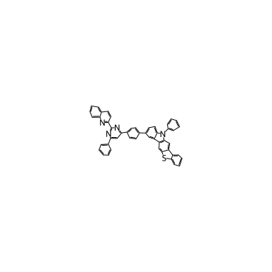 c1ccc(-c2cc(-c3ccc(-c4ccc5c(c4)c4cc6sc7ccccc7c6cc4n5-c4ccccc4)cc3)nc(-c3ccc4ccccc4n3)n2)cc1